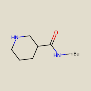 CCCCNC(=O)C1CCCNC1